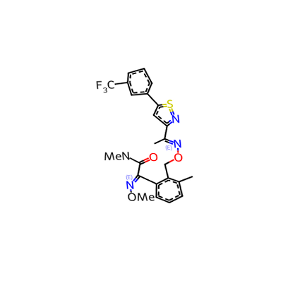 CNC(=O)/C(=N/OC)c1cccc(C)c1CO/N=C(\C)c1cc(-c2cccc(C(F)(F)F)c2)sn1